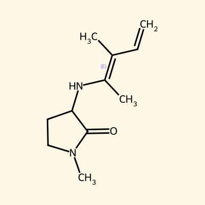 C=C/C(C)=C(\C)NC1CCN(C)C1=O